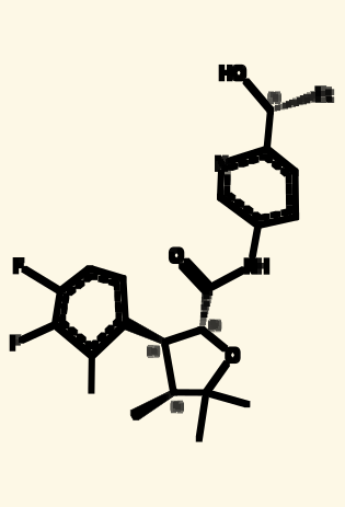 CC[C@@H](O)c1ccc(NC(=O)[C@@H]2OC(C)(C)[C@@H](C)[C@H]2c2ccc(F)c(F)c2C)cn1